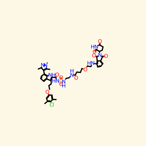 Cc1cc(OCCCc2c(C(=O)NS(=O)(=O)NCCNC(=O)CCCOCCNc3cccc4c3C(=O)N(C3CCC(=O)NC3=O)C4=O)[nH]c3c(-c4c(C)nn(C)c4C)cccc23)cc(C)c1Cl